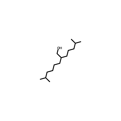 CC(C)CCCCC(CO)CCCC(C)C